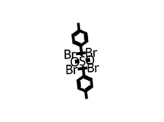 Cc1ccc(C(Br)(Br)S(=O)(=O)C(Br)(Br)c2ccc(C)cc2)cc1